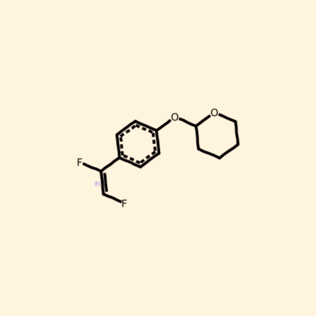 F/C=C(/F)c1ccc(OC2CCCCO2)cc1